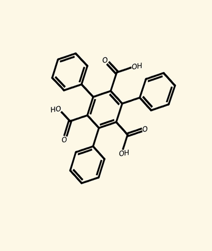 O=C(O)c1c(-c2ccccc2)c(C(=O)O)c(-c2ccccc2)c(C(=O)O)c1-c1ccccc1